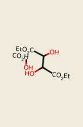 CCOC(=O)C(O)C(O)C(=O)OCC.O=C(O)O